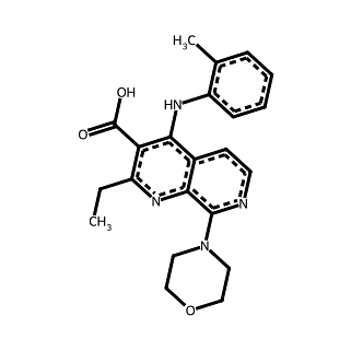 CCc1nc2c(N3CCOCC3)nccc2c(Nc2ccccc2C)c1C(=O)O